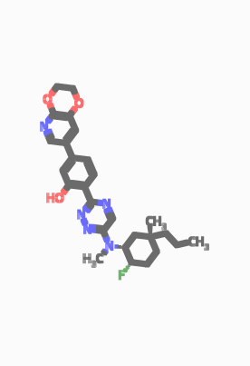 CCC[C@]1(C)CC[C@H](F)[C@H](N(C)c2cnc(-c3ccc(-c4cnc5c(c4)OCCO5)cc3O)nn2)C1